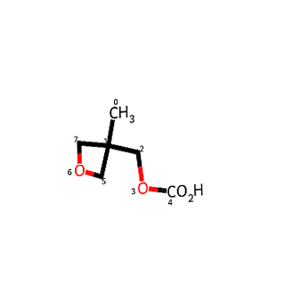 CC1(COC(=O)O)COC1